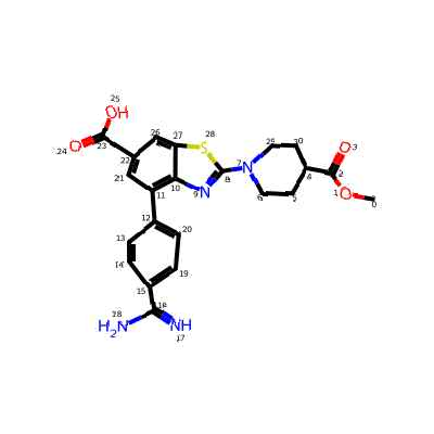 COC(=O)C1CCN(c2nc3c(-c4ccc(C(=N)N)cc4)cc(C(=O)O)cc3s2)CC1